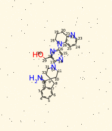 N[C@@H]1c2ccccc2CC12CCN(c1ncc(N3CCCc4ncccc43)nc1CO)CC2